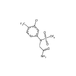 CS(=O)(=O)N(CC(N)=O)c1ccc(C(F)(F)F)c(Cl)c1